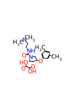 Cc1cc(C)cc(OC2CCN(C(=O)NCCN(C)C)C2)c1.O=C(O)C(=O)O